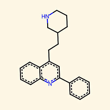 c1ccc(-c2cc(CCC3CCCNC3)c3ccccc3n2)cc1